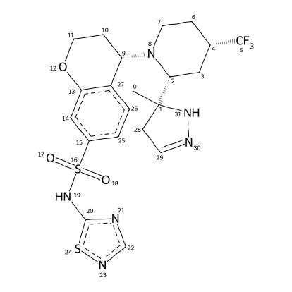 CC1([C@H]2C[C@@H](C(F)(F)F)CCN2[C@H]2CCOc3cc(S(=O)(=O)Nc4ncns4)ccc32)CC=NN1